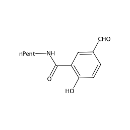 CCCCCNC(=O)c1cc(C=O)ccc1O